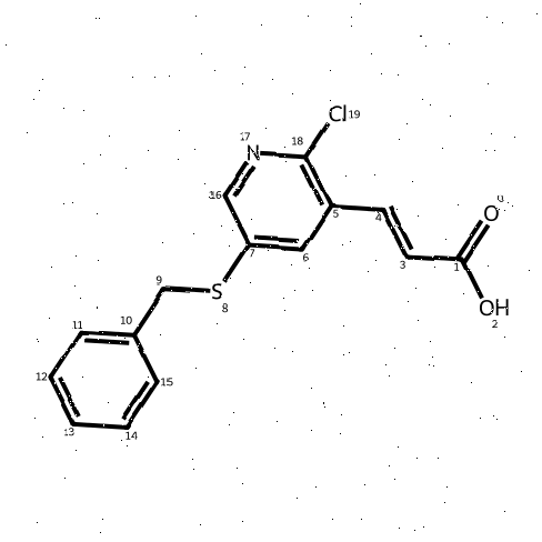 O=C(O)C=Cc1cc(SCc2ccccc2)cnc1Cl